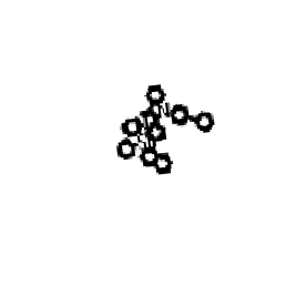 c1ccc(-c2ccc(-n3c4ccccc4c4cnc5c6c(ccc5c43)-c3c(ccc4ccccc34)[Si]6(c3ccccc3)c3ccccc3)cc2)cc1